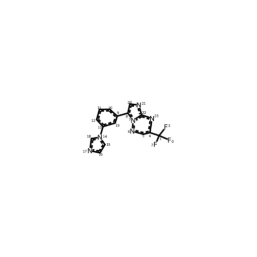 FC(F)(F)c1cnn2c(-c3cccc(-n4ccnc4)c3)cnc2n1